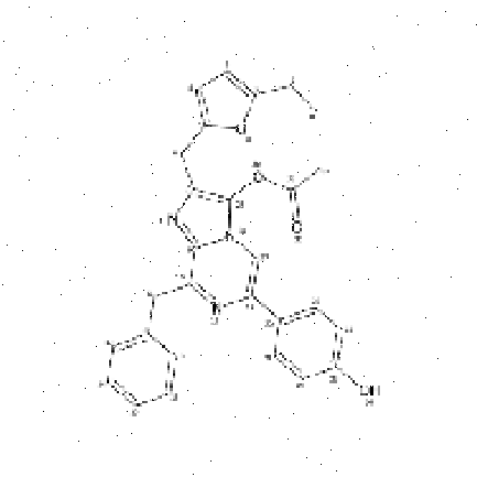 CCc1ccc(Cc2nc3c(Cc4ccccc4)nc(-c4ccc(O)cc4)cn3c2OC(C)=O)o1